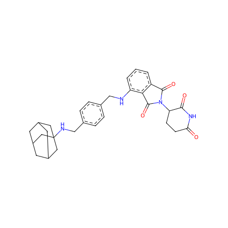 O=C1CCC(N2C(=O)c3cccc(NCc4ccc(CNC56CC7CC(CC(C7)C5)C6)cc4)c3C2=O)C(=O)N1